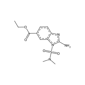 CCOC(=O)c1ccc2nc(N)n(S(=O)(=O)N(C)C)c2c1